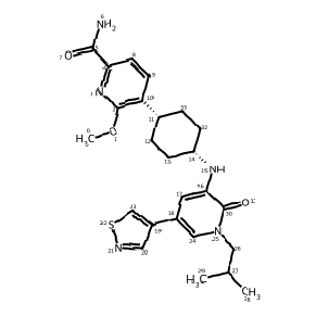 COc1nc(C(N)=O)ccc1[C@H]1CC[C@@H](Nc2cc(-c3cnsc3)cn(CC(C)C)c2=O)CC1